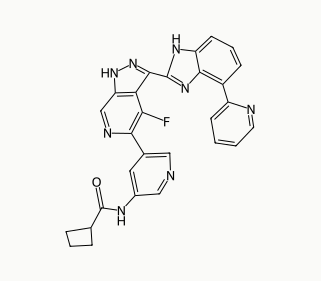 O=C(Nc1cncc(-c2ncc3[nH]nc(-c4nc5c(-c6ccccn6)cccc5[nH]4)c3c2F)c1)C1CCC1